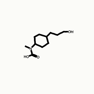 CN(C(=O)O)C1CCC(CCCO)CC1